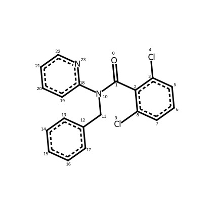 O=C(c1c(Cl)cccc1Cl)N(Cc1ccccc1)c1ccccn1